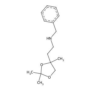 CC1(CCNCc2ccccc2)COC(C)(C)O1